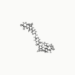 COc1cc(C(=O)NC2CCN(CCC3CCN(c4cc(F)c(NC5CCC(=O)NC5=O)cc4F)CC3)CC2)ccc1Nc1ncc2c(n1)N(C1CCCC1)CC(F)(F)C(=O)N2C